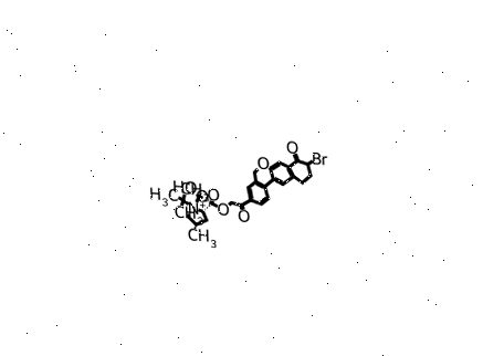 C[C@H]1C[C@@H](C(=O)OCC(=O)c2ccc3c(c2)COc2cc4c(cc2-3)CCC(Br)C4=O)[N+](C(=O)O)(C(C)(C)C)C1